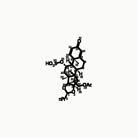 CCC[C@@H]1O[C@@H]2C[C@H]3[C@@H]4CCC5=CC(=O)C=C[C@]5(C)[C@H]4[C@@H](OS(=O)(=O)O)C[C@]3(C)[C@]2(C(=O)COC(C)=O)O1